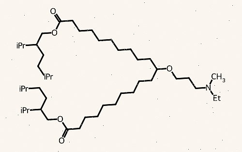 CCN(C)CCCOC(CCCCCCCCCC(=O)OCC(CCC(C)C)C(C)C)CCCCCCCCCC(=O)OCC(CCC(C)C)C(C)C